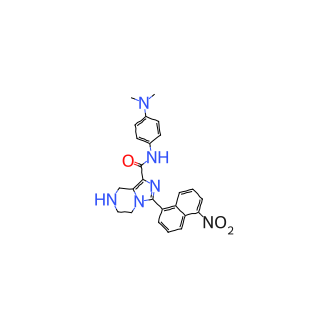 CN(C)c1ccc(NC(=O)c2nc(-c3cccc4c([N+](=O)[O-])cccc34)n3c2CNCC3)cc1